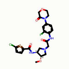 CO[C@H]1CN(CC(=O)Nc2ccc(N3CCOCC3=O)cc2F)C[C@@H]1NC(=O)c1ccc(Cl)s1